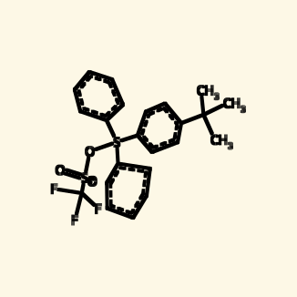 CC(C)(C)c1ccc(S(OS(=O)(=O)C(F)(F)F)(c2ccccc2)c2ccccc2)cc1